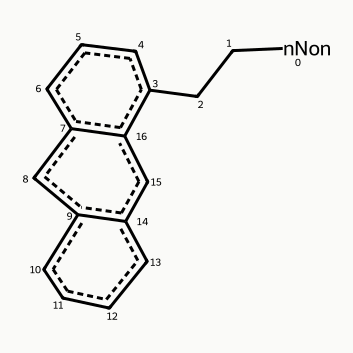 [CH2]CCCCCCCCCCc1cccc2cc3ccccc3cc12